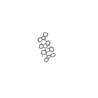 Cc1ccc2c(c1-n1c3ccccc3c3ccccc31)-c1ccccc1C21c2ccccc2-c2c(-n3c4ccccc4c4ccccc43)cccc21